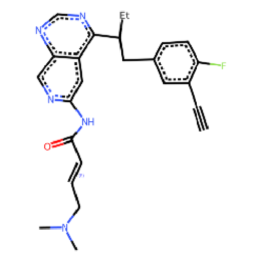 C#Cc1cc(CC(CC)c2ncnc3cnc(NC(=O)/C=C/CN(C)C)cc23)ccc1F